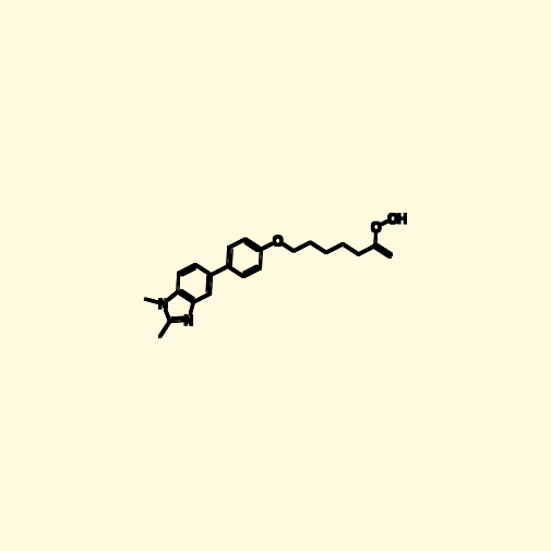 C=C(CCCCCOc1ccc(-c2ccc3c(c2)nc(C)n3C)cc1)OO